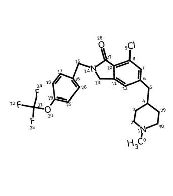 CN1CCC(Cc2cc(Cl)c3c(c2)CN(Cc2ccc(OC(F)(F)F)cc2)C3=O)CC1